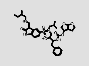 CCC(C)CN/C=C1\C(=O)Nc2ccc(S(=O)(=O)N(CC(C)C)CC(O)C(Cc3ccccc3)NC(=O)OC3COC4OCCC34)cc21